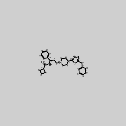 O=C(NC(CCN1CCC(c2nnc(Cc3ccccc3)o2)CC1)c1ccccc1)C1CCC1